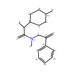 C=C(CN(C)C(=C)C(C)C1CCC(C)CC1)c1ccccc1